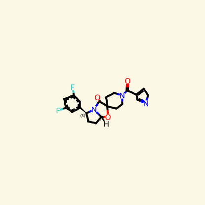 O=C(C1=CCN=C1)N1CCC2(CC1)O[C@@H]1CC[C@@H](c3cc(F)cc(F)c3)N1C2=O